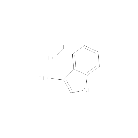 CCO.O=Cc1c[nH]c2ccccc12